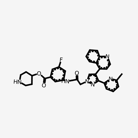 Cc1cccc(-c2nn(CC(=O)Nc3cc(F)cc(C(=O)OC4CCNCC4)c3)cc2-c2ccnc3ccccc23)n1